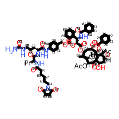 CC(=O)O[C@@H]1C(=O)[C@@]2(C)[C@H](O)C[C@@H]3OC[C@]3(OC(C)=O)[C@@H]2[C@@H](OC(=O)c2ccccc2)C(O)C[C@@H](OC(=O)[C@@H](OC(=O)OCc2ccc(NC(=O)[C@H](CCCNC(N)=O)NC(=O)C(NC(=O)CCCCCN3C(=O)C=CC3=O)C(C)C)cc2)[C@H](NC(=O)c2ccccc2)c2ccccc2)/C(C)=C/1C(C)(C)C